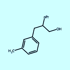 CCCC(CO)Cc1cccc(C)c1